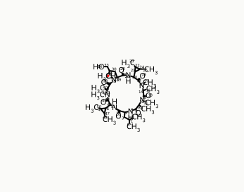 CC(C)CC1NC(=O)C(C)N(C)C(=O)C(C)N(C)C(=O)C(C2C(C)C2C)NC(=O)C(CC(C)CO)N(C)C(=O)C(C)N(C)C(=O)C(C2C(C)C2C)NC1=O